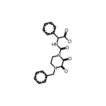 O=C(Cl)C(NC(=O)N1CCN(Cc2ccccc2)C(=O)C1=O)c1ccccc1